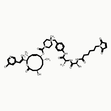 C/C(=C\c1cncc(Cl)c1)[C@@H]1OC(=O)C[C@H](O)CC[C@@H](C)[C@@H](OC(=O)N2CC[N+](C)(Cc3ccc(NC(=O)[C@H](C)NC(=O)[C@@H](NC(=O)CCCCCN4C(=O)C=CC4=O)C(C)C)cc3)CC2)C=C[C@H]1C